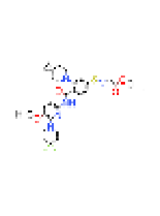 COC(=O)CNSc1ccc(C(=O)Nc2ccc(OC)c(N3CCC(F)(F)CC3)n2)c(N2CCC3(CC2)CC3)c1